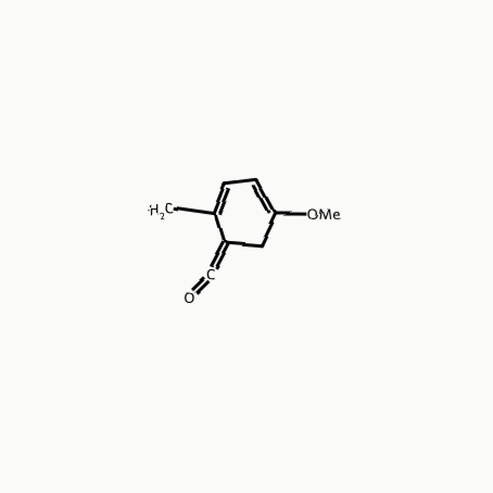 [CH2]C1=CC=C(OC)CC1=C=O